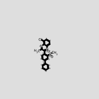 Cc1nc2c(Cl)cccc2nc1-c1ccc(-c2ccccc2)cc1S(C)(=O)=O